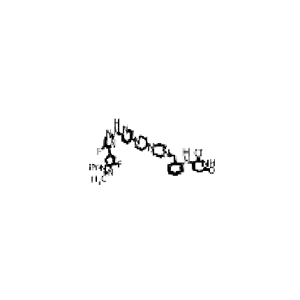 Cc1nc2c(F)cc(-c3nc(Nc4ccc(N5CCC(N6CCN(Cc7ccccc7NC7CCC(=O)NC7=O)CC6)CC5)cn4)ncc3F)cc2n1C(C)C